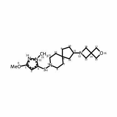 COc1cc(SN2CCC3(CCC(N4CC5(COC5)C4)C3)CC2)n(C)n1